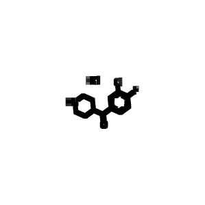 Cl.O=C(c1ccc(F)c(Cl)c1)C1CCNCC1